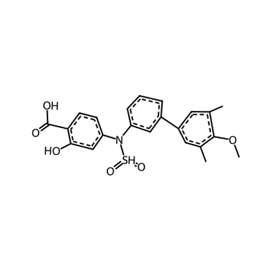 COc1c(C)cc(-c2cccc(N(c3ccc(C(=O)O)c(O)c3)[SH](=O)=O)c2)cc1C